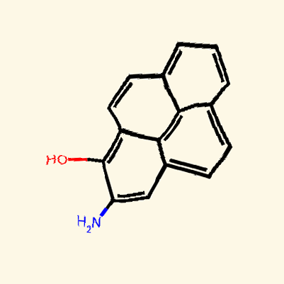 Nc1cc2ccc3cccc4ccc(c1O)c2c34